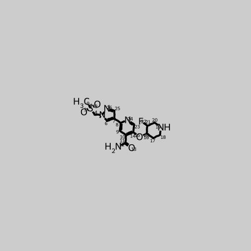 CS(=O)(=O)Cn1cc(-c2cc(C(N)=O)c(O[C@@H]3CCNCC3F)cn2)cn1